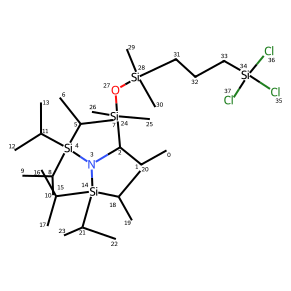 CCC(N([Si](C(C)C)(C(C)C)C(C)C)[Si](C(C)C)(C(C)C)C(C)C)[Si](C)(C)O[Si](C)(C)CCC[Si](Cl)(Cl)Cl